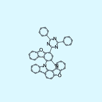 N#Cc1cc(-c2nc(-c3ccccc3)nc(-c3ccccc3)n2)c2oc3ccccc3c2c1-n1c2ccccc2c2ccc3oc4ccccc4c3c21